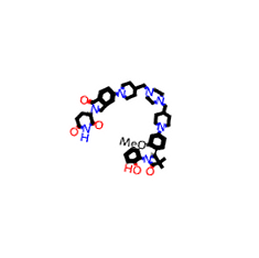 COc1cc(N2CCC(CN3CCN(CC4CCN(c5ccc6c(c5)CN([C@H]5CCC(=O)NC5=O)C6=O)CC4)CC3)CC2)ccc1[C@@H]1N(c2ccccc2O)C(=O)C1(C)C